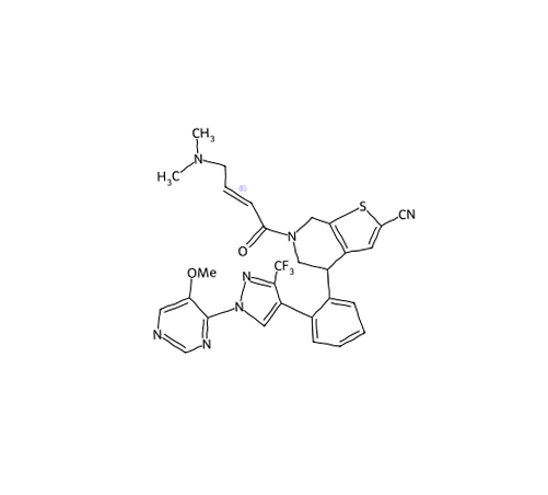 COc1cncnc1-n1cc(-c2ccccc2C2CN(C(=O)/C=C/CN(C)C)Cc3sc(C#N)cc32)c(C(F)(F)F)n1